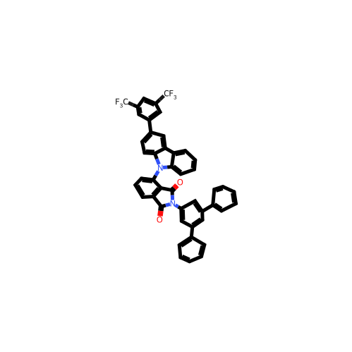 O=C1c2cccc(-n3c4ccccc4c4cc(-c5cc(C(F)(F)F)cc(C(F)(F)F)c5)ccc43)c2C(=O)N1c1cc(-c2ccccc2)cc(-c2ccccc2)c1